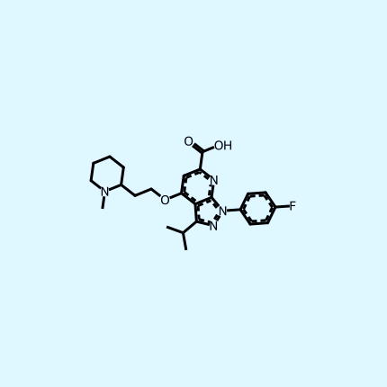 CC(C)c1nn(-c2ccc(F)cc2)c2nc(C(=O)O)cc(OCCC3CCCCN3C)c12